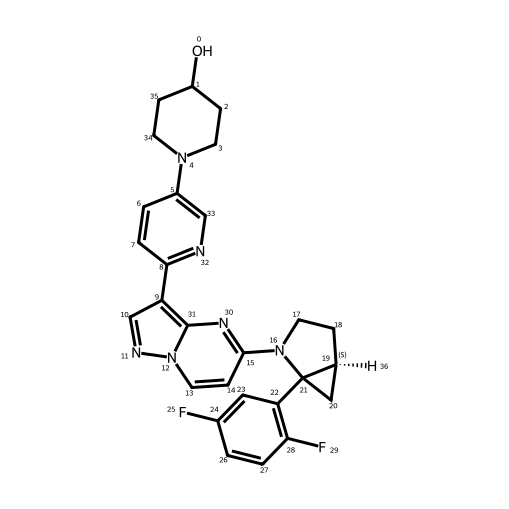 OC1CCN(c2ccc(-c3cnn4ccc(N5CC[C@H]6CC65c5cc(F)ccc5F)nc34)nc2)CC1